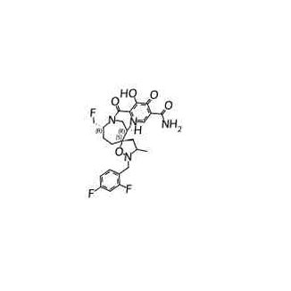 CC1C[C@]2(CC[C@H](CF)N3C[C@H]2n2cc(C(N)=O)c(=O)c(O)c2C3=O)ON1Cc1ccc(F)cc1F